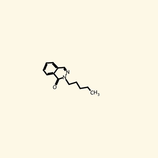 CCCCCn1ncc2ccccc2c1=O